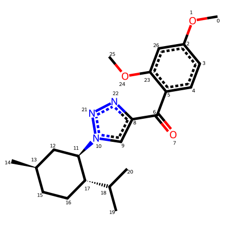 COc1ccc(C(=O)c2cn([C@@H]3C[C@H](C)CC[C@H]3C(C)C)nn2)c(OC)c1